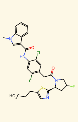 Cn1cc(C(=O)Nc2cc(Cl)c(CC(=O)N3C[C@@H](F)C[C@H]3c3ncc(CCC(=O)O)s3)cc2Cl)c2ccccc21